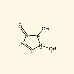 O=C1N=CN(O)C1O